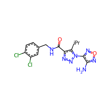 CC(C)c1c(C(=O)NCc2ccc(Cl)c(Cl)c2)nnn1-c1nonc1N